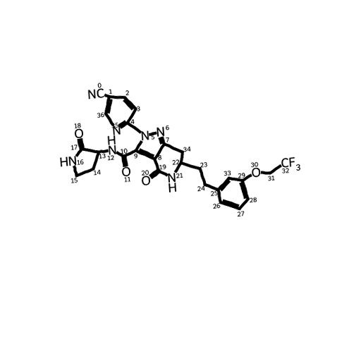 N#Cc1ccc(-n2nc3c(c2C(=O)NC2CCNC2=O)C(=O)NC(CCc2cccc(OCC(F)(F)F)c2)C3)nc1